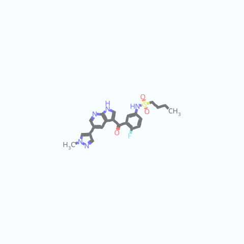 CCCCS(=O)(=O)Nc1ccc(F)c(C(=O)c2c[nH]c3ncc(-c4cnn(C)c4)cc23)c1